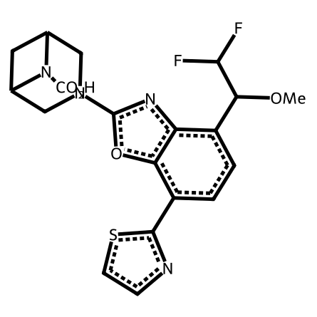 COC(c1ccc(-c2nccs2)c2oc(N3CC4CC(C3)N4C(=O)O)nc12)C(F)F